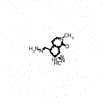 C#N.C#N.Cn1ccc2c(C=NN)cccc2c1=O